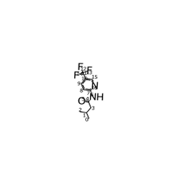 CC(C)CC(=O)Nc1ccc(C(F)(F)F)cn1